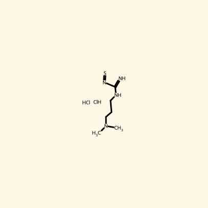 CN(C)CCCNC(=N)N=S.Cl.Cl